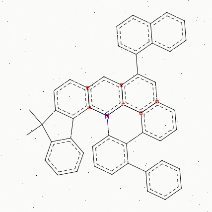 CC1(C)c2ccccc2-c2c(N(c3cccc(-c4cccc5ccccc45)c3)c3cccc(-c4ccccc4)c3-c3ccccc3-c3ccccc3)cccc21